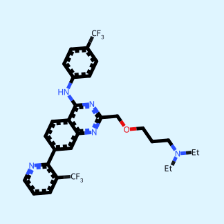 CCN(CC)CCCOCc1nc(Nc2ccc(C(F)(F)F)cc2)c2ccc(-c3ncccc3C(F)(F)F)cc2n1